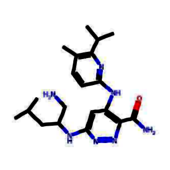 Cc1ccc(Nc2cc(NC(CN)CC(C)C)nnc2C(N)=O)nc1C(C)C